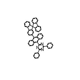 c1ccc(-c2nc(-c3ccccc3)nc(-c3c4ccccc4c(-c4ccc5c(c4)C4(c6ccccc6-c6ccccc64)c4ccccc4-5)c4ccccc34)n2)cc1